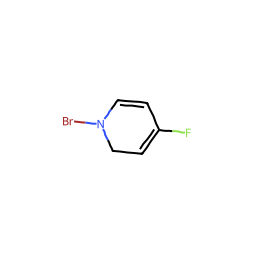 FC1=CCN(Br)C=C1